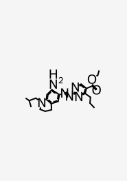 CCCc1nc(N=Nc2cc3c(cc2N)N(CC(C)C)CCC3)ncc1C(=O)OCC